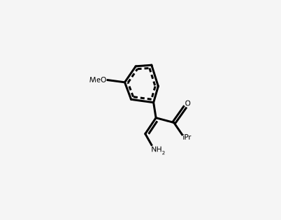 COc1cccc(C(=CN)C(=O)C(C)C)c1